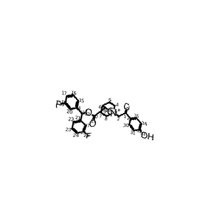 O=C(C[N+]12CCC(CC1)C(C(=O)OC(c1cccc(F)c1)c1cccc(F)c1)C2)c1ccc(O)cc1